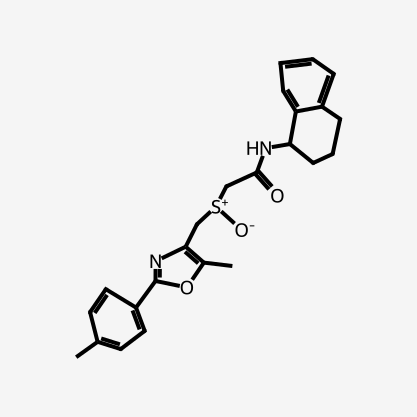 Cc1ccc(-c2nc(C[S+]([O-])CC(=O)NC3CCCc4ccccc43)c(C)o2)cc1